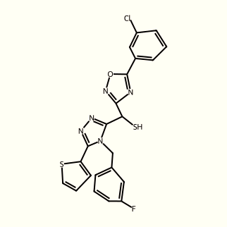 Fc1cccc(Cn2c(-c3cccs3)nnc2C(S)c2noc(-c3cccc(Cl)c3)n2)c1